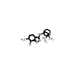 Cc1ccc2c(N[C@H]3C4CCN(CC4)C3(C)C)noc2c1Cl